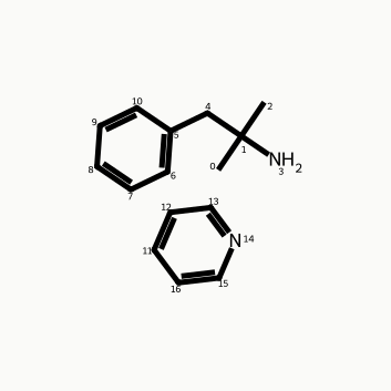 CC(C)(N)Cc1ccccc1.c1ccncc1